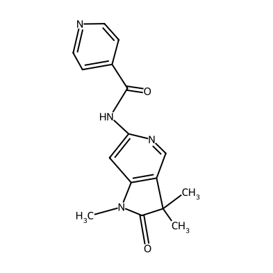 CN1C(=O)C(C)(C)c2cnc(NC(=O)c3ccncc3)cc21